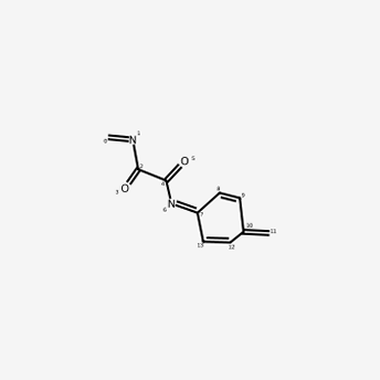 C=NC(=O)C(=O)N=C1C=CC(=C)C=C1